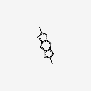 Cc1cc2nc3cc(C)oc3cc2o1